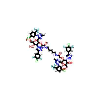 Cc1nc(C2OC(CO)C(O)C(n3cc(-c4cc(F)c(Cl)c(F)c4)nn3)C2OCC(=O)NCCCCCNC(=O)COC2C(c3nc(C)nn3-c3cc(Cl)ccc3C(F)(F)F)OC(CO)C(O)C2n2cc(-c3cc(F)c(Cl)c(F)c3)nn2)n(-c2cc(Cl)ccc2C(F)(F)F)n1